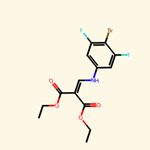 CCOC(=O)C(=CNc1cc(F)c(Br)c(F)c1)C(=O)OCC